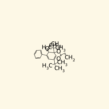 C=CC(=O)OC1(C(C)(C)C)C=C(C(C)(C)C)C=C(c2ccccc2)C1OC